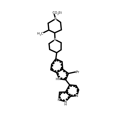 CCOC(=O)N1CCC(N2CCC(c3ccc4[nH]c(-c5ccnc6[nH]ncc56)c(C(C)C)c4c3)CC2)C(C)C1